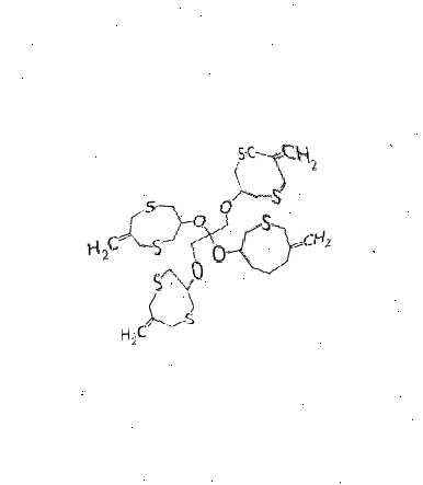 C=C1CCCC(OC(COC2CSCC(=C)CSC2)(COC2CSCC(=C)CSC2)OC2CSCC(=C)CSC2)CSC1